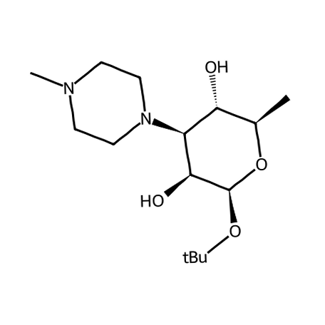 C[C@H]1O[C@@H](OC(C)(C)C)[C@@H](O)[C@@H](N2CCN(C)CC2)[C@@H]1O